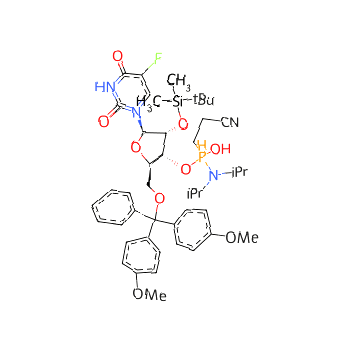 COc1ccc(C(OC[C@H]2O[C@@H](n3cc(F)c(=O)[nH]c3=O)[C@H](O[Si](C)(C)C(C)(C)C)[C@@H]2O[PH](O)(CCC#N)N(C(C)C)C(C)C)(c2ccccc2)c2ccc(OC)cc2)cc1